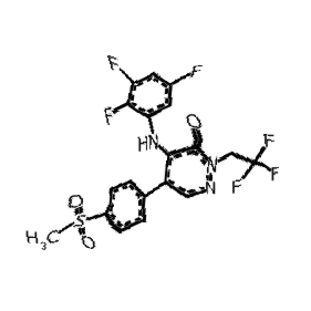 CS(=O)(=O)c1ccc(-c2cnn(CC(F)(F)F)c(=O)c2Nc2cc(F)cc(F)c2F)cc1